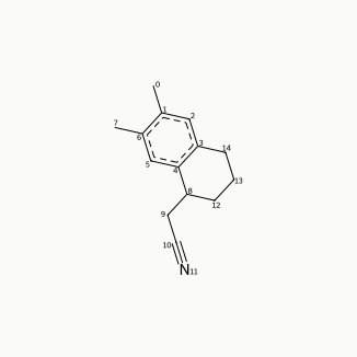 Cc1cc2c(cc1C)C(CC#N)CCC2